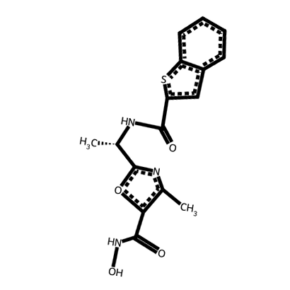 Cc1nc([C@H](C)NC(=O)c2cc3ccccc3s2)oc1C(=O)NO